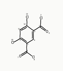 O=C(Cl)c1cc(C(=O)Cl)c(Cl)cc1Cl